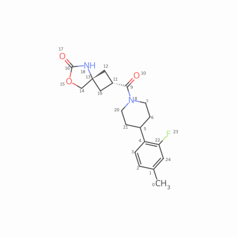 Cc1ccc(C2CCN(C(=O)[C@H]3C[C@]4(COC(=O)N4)C3)CC2)c(F)c1